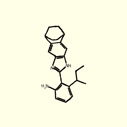 CCC(C)c1cccc(N)c1-c1nc2cc3c(cc2[nH]1)C1CCC3CC1